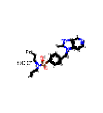 C=CCN([C@@H](CC(C)C)C(=O)OCC)S(=O)(=O)c1ccc(CN2c3ccncc3NC2C)cc1